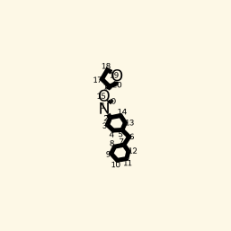 C(=NC1CCC(CC2CCCCC2)CC1)OC1CCOC1